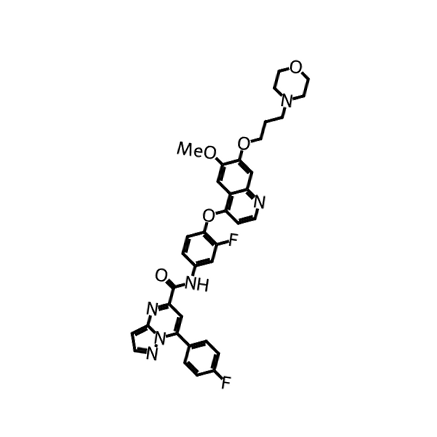 COc1cc2c(Oc3ccc(NC(=O)c4cc(-c5ccc(F)cc5)n5nccc5n4)cc3F)ccnc2cc1OCCCN1CCOCC1